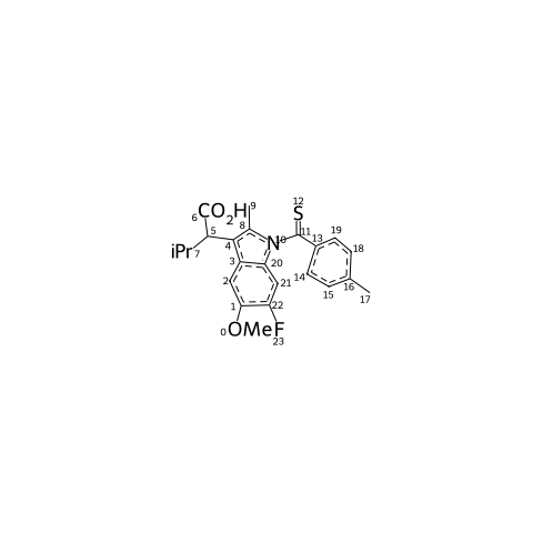 COc1cc2c(C(C(=O)O)C(C)C)c(C)n(C(=S)c3ccc(C)cc3)c2cc1F